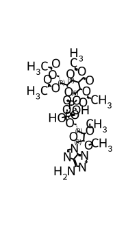 COC1C(OC)[C@@H](COP(=O)(O)OP(=O)(O)O[C@@H]2OC([C@@H](COC(C)=O)OC(C)=O)[C@@H](OC(C)=O)C(C=O)C2OC(C)=O)O[C@H]1n1cnc2c(N)ncnc21